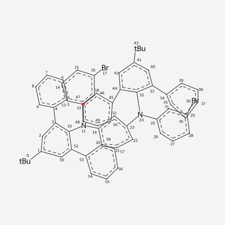 CC(C)(C)c1cc(-c2ccccc2)c(N(c2cccc(Br)c2)c2cccc(N(c3cccc(Br)c3)c3c(-c4ccccc4)cc(C(C)(C)C)cc3-c3ccccc3)c2)c(-c2ccccc2)c1